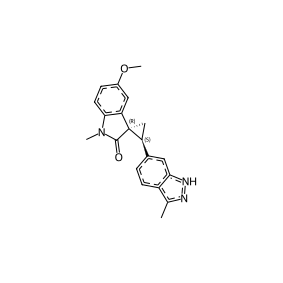 COc1ccc2c(c1)[C@]1(C[C@H]1c1ccc3c(C)n[nH]c3c1)C(=O)N2C